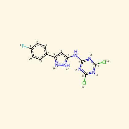 Fc1ccc(-c2cc(Nc3nc(Cl)nc(Cl)n3)[nH]n2)cc1